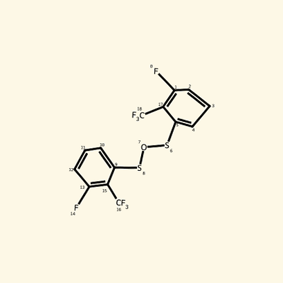 Fc1cccc(SOSc2cccc(F)c2C(F)(F)F)c1C(F)(F)F